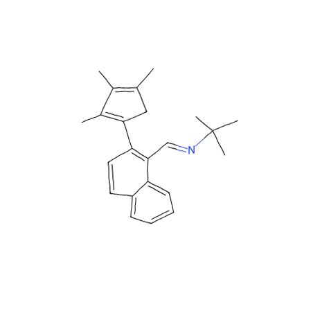 CC1=C(C)C(C)=C(c2ccc3ccccc3c2C=NC(C)(C)C)C1